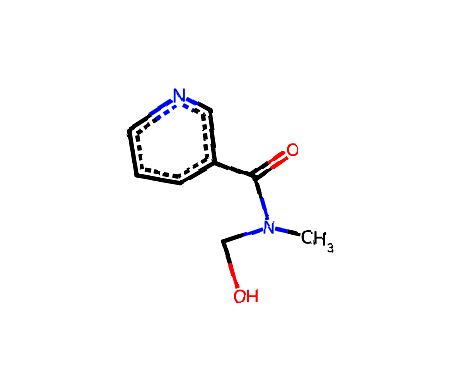 CN(CO)C(=O)c1cccnc1